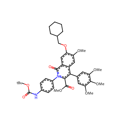 COC(=O)c1c(-c2cc(OC)c(OC)c(OC)c2)c2cc(OC)c(OCC3CCCCC3)cc2c(=O)n1-c1ccc(NC(=O)OC(C)(C)C)cc1